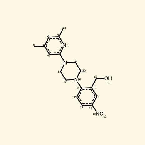 Cc1cc(C)nc(N2CCN(c3ccc([N+](=O)[O-])cc3CO)CC2)c1